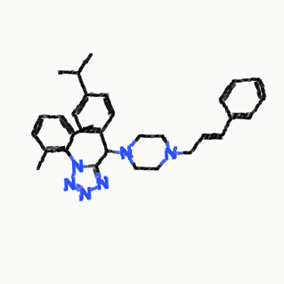 Cc1cccc(C)c1-n1nnnc1C(c1ccc(C(C)C)cc1)N1CCN(CC=Cc2ccccc2)CC1